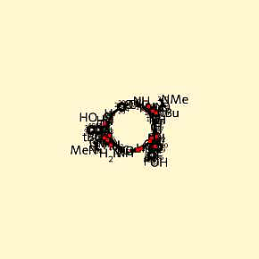 CN[C@@H](C)C(=O)N[C@H](C(=O)N1CC[C@H]2N/C=C(\N)COc3ccc(cc3)C[C@@H](C(=O)O)NC(=O)[C@H](Cc3ccc4ccccc4c3)NC(=O)[C@@H]3[C@@H](CCN3C(=O)[C@@H](NC(=O)[C@H](C)NC)C(C)(C)C)N/C=C(\NN)COc3ccc(cc3)C[C@@H](C(=O)Nc3cc(F)c(O)c(F)c3)NC(=O)[C@H](Cc3ccc4ccccc4c3)CC(=O)NC(=O)[C@H]21)C(C)(C)C